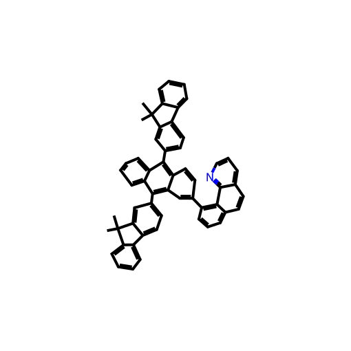 CC1(C)c2ccccc2-c2ccc(-c3c4ccccc4c(-c4ccc5c(c4)C(C)(C)c4ccccc4-5)c4cc(-c5cccc6ccc7cccnc7c56)ccc34)cc21